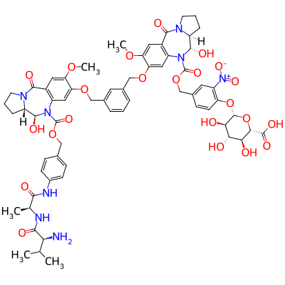 COc1cc2c(cc1OCc1cccc(COc3cc4c(cc3OC)C(=O)N3CCC[C@H]3[C@H](O)N4C(=O)OCc3ccc(O[C@@H]4O[C@H](C(=O)O)[C@@H](O)[C@H](O)[C@H]4O)c([N+](=O)[O-])c3)c1)N(C(=O)OCc1ccc(NC(=O)[C@H](C)NC(=O)[C@@H](N)C(C)C)cc1)[C@@H](O)[C@@H]1CCCN1C2=O